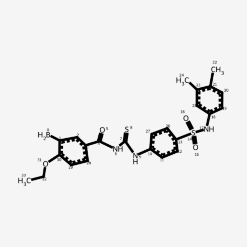 Bc1cc(C(=O)NC(=S)Nc2ccc(S(=O)(=O)Nc3ccc(C)c(C)c3)cc2)ccc1OCC